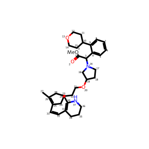 COC(=O)C(c1ccccc1C1CCOCC1)N1CCC(OCCCCC2=C(/C)CCC3=C(/C=C\2)CCCN3)C1